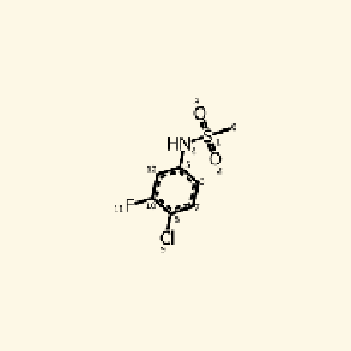 CS(=O)(=O)Nc1ccc(Cl)c(F)c1